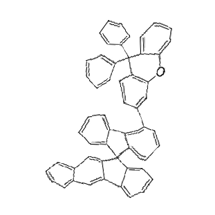 c1ccc(C2(c3ccccc3)c3ccccc3Oc3cc(-c4cccc5c4-c4ccccc4C54c5ccccc5-c5cc6ccccc6cc54)ccc32)cc1